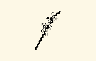 C#C[C@]1(COC(=O)CCCC)O[C@@H](n2cnc3c(NC(=O)CCCCCCCCCCC)nc(F)nc32)C[C@@H]1O